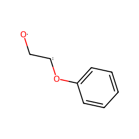 [O]C[C]Oc1ccccc1